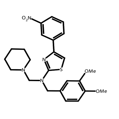 COc1ccc(CN(CN2CCCCC2)c2nc(-c3cccc([N+](=O)[O-])c3)cs2)cc1OC